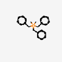 CP(C)(Cc1ccccc1)(Cc1ccccc1)Cc1ccccc1